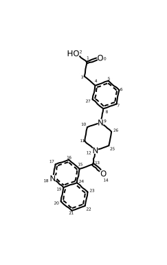 O=C(O)Cc1cccc(N2CCN(C(=O)c3ccnc4ccccc34)CC2)c1